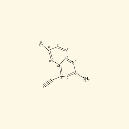 C#Cc1cc(N)nc2ccc(CC)cc12